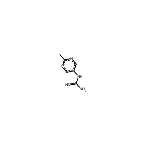 Cc1ncc(NC(=N)N)cn1